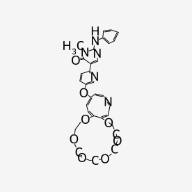 Cn1c(Nc2ccccc2)ncc(-c2ccc(Oc3ccnccc4c(cc3)OCCOCCOCCOCCOCCO4)cn2)c1=O